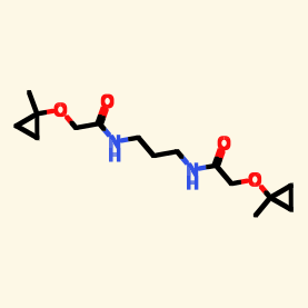 CC1(OCC(=O)NCCCNC(=O)COC2(C)CC2)CC1